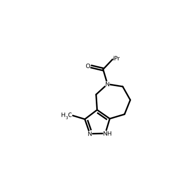 Cc1n[nH]c2c1CN(C(=O)C(C)C)CCC2